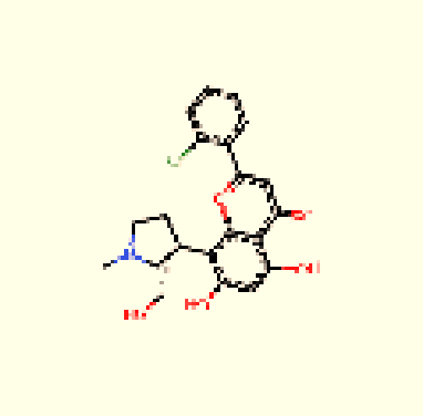 CN1CCC(c2c(O)cc(O)c3c(=O)cc(-c4ccccc4Cl)oc23)[C@@H]1CO